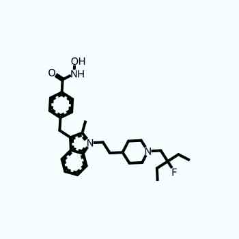 CCC(F)(CC)CN1CCC(CCn2c(C)c(Cc3ccc(C(=O)NO)cc3)c3ccccc32)CC1